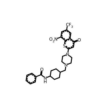 O=C(NC1CCC(CN2CCN(c3cc(=O)c4cc(C(F)(F)F)cc([N+](=O)[O-])c4s3)CC2)CC1)c1ccccc1